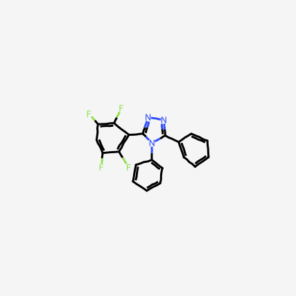 Fc1cc(F)c(F)c(-c2nnc(-c3ccccc3)n2-c2ccccc2)c1F